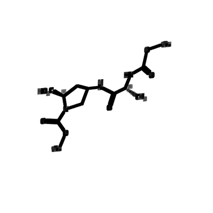 C[C@@H](NC(=O)OC(C)(C)C)C(=O)NC1C[C@H](C(=O)O)N(C(=O)OC(C)(C)C)C1